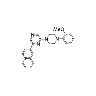 COc1ccccc1N1CCN(c2cncc(-c3ccc4ccccc4c3)n2)CC1